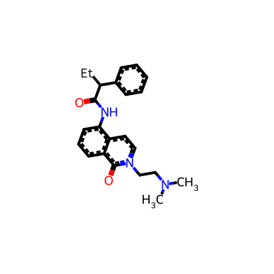 CCC(C(=O)Nc1cccc2c(=O)n(CCN(C)C)ccc12)c1ccccc1